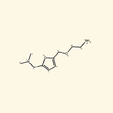 CN(C)Cc1ccc(COCCN)o1